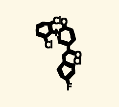 O=C(Cc1ccc(F)cc1Cl)c1ccc(=O)n(-c2c(Cl)cccc2Cl)c1